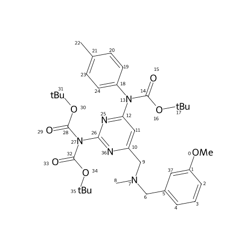 COc1cccc(CN(C)Cc2cc(N(C(=O)OC(C)(C)C)c3ccc(C)cc3)nc(N(C(=O)OC(C)(C)C)C(=O)OC(C)(C)C)n2)c1